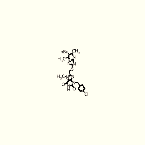 CCCCc1c(C)nc2nc(SCc3nc4c(c(=O)[nH]c(=O)n4Cc4ccc(Cl)cc4)n3C)nn2c1C